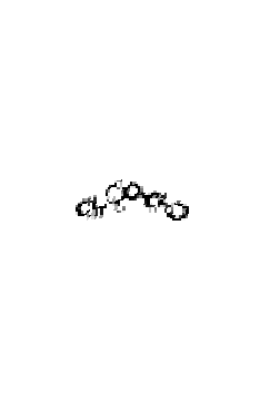 O=C1c2cc(-c3cnc(N4CCCCC4)nc3)ccc2OCCN1CC1N=CC=CN1